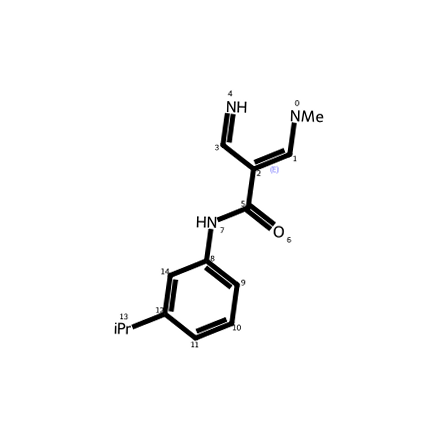 CN/C=C(\C=N)C(=O)Nc1cccc(C(C)C)c1